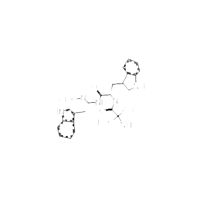 CC(C)(N)C(=O)N[C@H](CC1CNc2ccccc21)C(=O)N[C@H](Cc1c[nH]c2ccccc12)NC=O